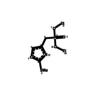 CCOP(=O)(Cc1coc(SC)n1)OCC